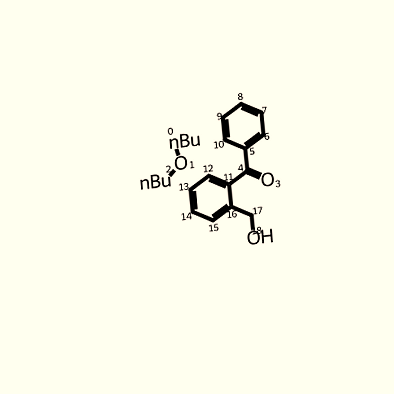 CCCCOCCCC.O=C(c1ccccc1)c1ccccc1CO